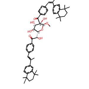 CO[C@H]1O[C@H](C(O)C(=O)c2ccc(C=C(C)c3ccc4c(c3)C(C)(C)CCC4(C)C)cc2)[C@@H](O)[C@H](O)[C@]1(O)C(=O)c1ccc(C=C(C)c2ccc3c(c2)C(C)(C)CCC3(C)C)cc1